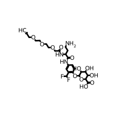 C#CCOCCOCCOCC(=O)NC(CCN)C(=O)Nc1ccc(OC2OC(C(=O)O)C(O)C(O)C2O)c(C(F)F)c1